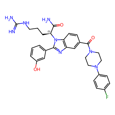 N=C(N)NCCC[C@@H](C(N)=O)n1c(-c2cccc(O)c2)nc2cc(C(=O)N3CCN(c4ccc(F)cc4)CC3)ccc21